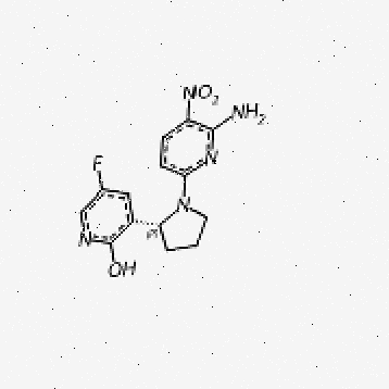 Nc1nc(N2CCC[C@@H]2c2cc(F)cnc2O)ccc1[N+](=O)[O-]